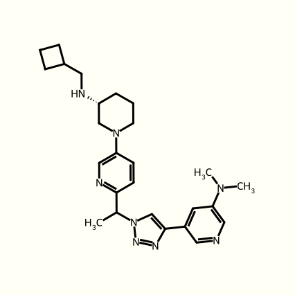 CC(c1ccc(N2CCC[C@@H](NCC3CCC3)C2)cn1)n1cc(-c2cncc(N(C)C)c2)nn1